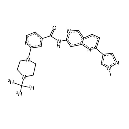 [2H]C([2H])([2H])N1CCN(c2cc(C(=O)Nc3cc4nc(-c5cnn(C)c5)ccc4cn3)ccn2)CC1